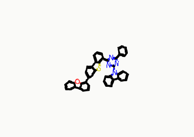 c1ccc(-c2nc(-c3cccc4c3sc3cc(-c5cccc6c5oc5ccccc56)ccc34)nc(-n3c4ccccc4c4ccccc43)n2)cc1